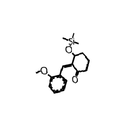 COc1ccccc1C=C1C(=O)CCCC1O[Si](C)(C)C